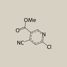 COC(=O)c1cnc(Cl)cc1C#N